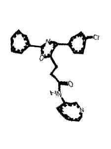 O=C(CCc1oc(-c2ccccc2)nc1-c1ccc(Cl)cc1)Nc1cccnc1